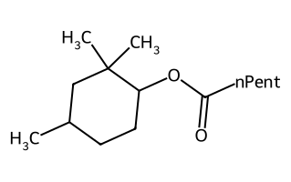 CCCCCC(=O)OC1CCC(C)CC1(C)C